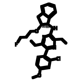 CCc1nc(-c2ccc(OC)cc2Cl)c(CC)nc1N[C@@H]1c2ccccc2C[C@@H]1OCCCF